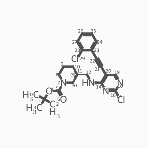 CC(C)(C)OC(=O)N1CCC[C@@H](CNc2nc(Cl)ncc2C#Cc2ccccc2Cl)C1